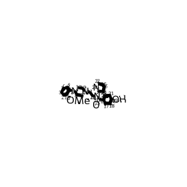 COc1ccccc1N1CCN(CCN(C(=O)c2ccc(O)cc2)c2ccccn2)CC1